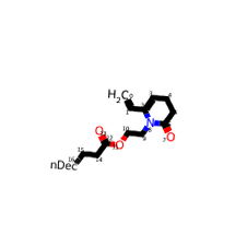 C=CC1=CCCC(=O)N1CCOC(=O)CCCCCCCCCCCC